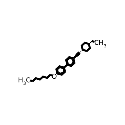 CCCCCCCOc1ccc(-c2ccc(C#C[C@H]3CC[C@H](CC)CC3)cc2)cc1